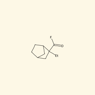 CCC1(C(=O)F)CC2CCC1C2